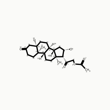 CC(=O)OCC(=O)[C@H]1[C@@H](Cl)C[C@H]2[C@@H]3CC[C@@H]4CC(=O)CC[C@]4(C)[C@H]3CC[C@@]21C